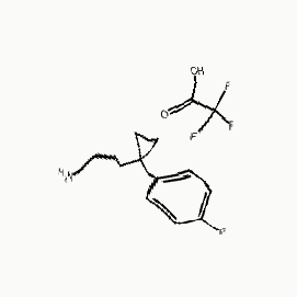 NCCC1(c2ccc(F)cc2)CC1.O=C(O)C(F)(F)F